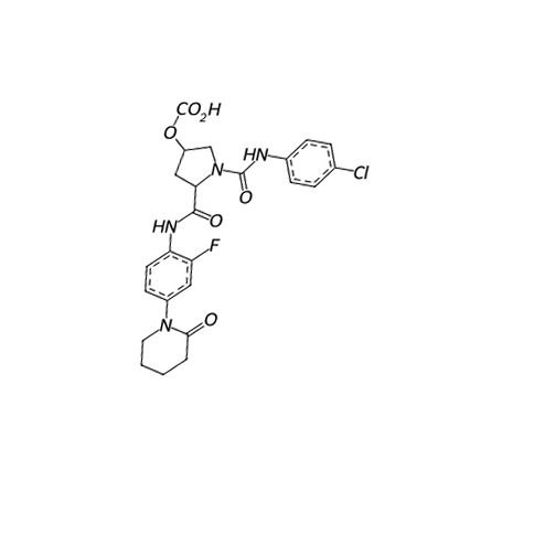 O=C(O)OC1CC(C(=O)Nc2ccc(N3CCCCC3=O)cc2F)N(C(=O)Nc2ccc(Cl)cc2)C1